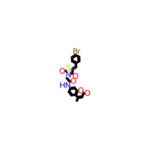 Cc1cc(=O)oc2cc(NC(=O)CN3C(=O)S/C(=C\c4ccc(Br)cc4)C3=O)ccc12